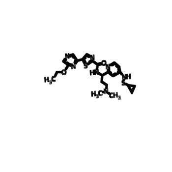 CCOc1cncc(-c2cnc(C(=O)NC(CCN(C)C)c3cc(NSC4CC4)ccn3)s2)n1